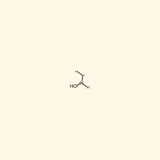 [C]N(O)CC